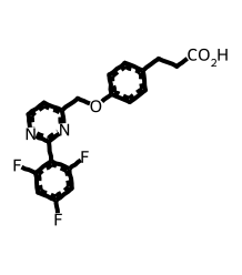 O=C(O)CCc1ccc(OCc2ccnc(-c3c(F)cc(F)cc3F)n2)cc1